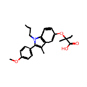 CCCn1c(-c2ccc(OC)cc2)c(C)c2cc(OC(C)(C)C(=O)O)ccc21